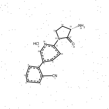 Cl.N#Cc1ccccc1-c1ccc(N2CC[C@H](N)C2=O)nc1